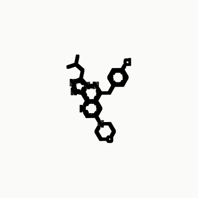 CC(C)Cc1nnc2c3ncc(N4CCOCC4)cc3c(Cc3ccc(Cl)cc3)nn12